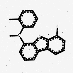 Cc1ccccc1N(C)c1cccc2c1sc1c(F)cccc12